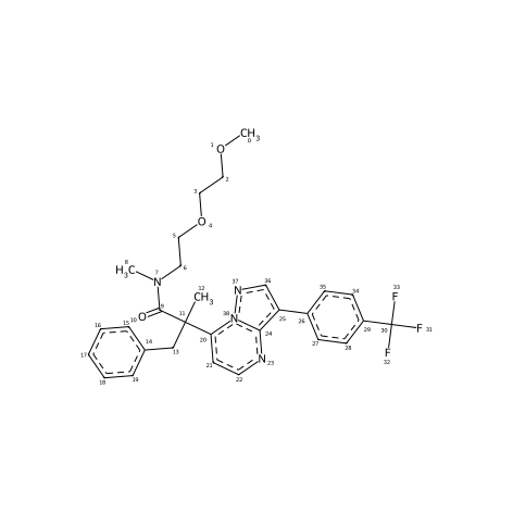 COCCOCCN(C)C(=O)C(C)(Cc1ccccc1)c1ccnc2c(-c3ccc(C(F)(F)F)cc3)cnn12